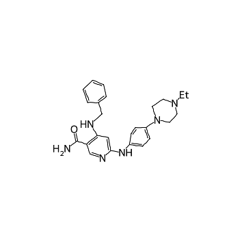 CCN1CCN(c2ccc(Nc3cc(NCc4ccccc4)c(C(N)=O)cn3)cc2)CC1